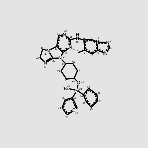 Cc1cc2ncnn2cc1Nc1ncc2c(n1)N(C1CCC(O[Si](c3ccccc3)(c3ccccc3)C(C)(C)C)CC1)C1=NCCN12